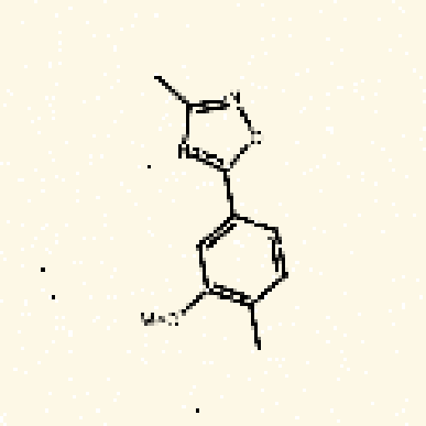 COc1cc(-c2nc(C)no2)ccc1C